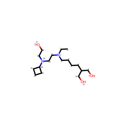 CCN(CCCCC(CO)CO)CCN(CCO)C1CCC1